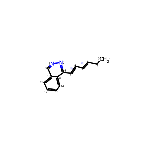 [CH2]C/C=C/C=C/c1nncc2ccccc12